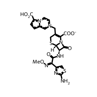 CO/N=C(\C(=O)N[C@@H]1C(=O)N2C(C(=O)[O-])=C(Cn3cc[n+]4c(C(=O)O)ccc-4c3)CS[C@@H]12)c1csc(N)n1